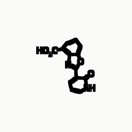 O=C(O)c1cccc2oc(-c3ccc[nH]c3=O)nc12